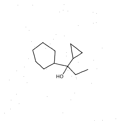 CCC(O)(C1CCCCC1)C1CC1